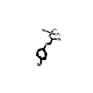 CC(C)(C)[Si](C)(C)OC(C#N)COc1ccc(Br)cc1